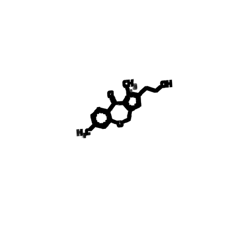 Cc1ccc2c(c1)OCc1cc(CCO)n(C)c1C2=O